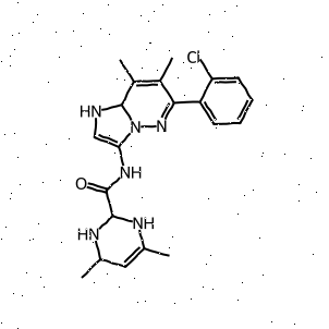 CC1=CC(C)NC(C(=O)NC2=CNC3C(C)=C(C)C(c4ccccc4Cl)=NN23)N1